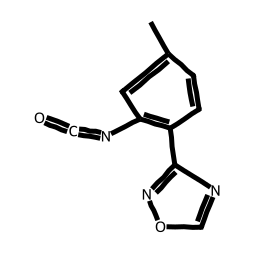 Cc1ccc(-c2ncon2)c(N=C=O)c1